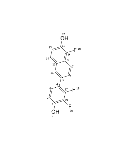 Oc1ccc(-c2ccc3c(F)c(O)ccc3c2)c(F)c1F